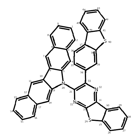 c1ccc2cc3c(cc2c1)c1cc2ccccc2cc1n3-c1nc2sc3ccccc3c2nc1-c1ccc2c(c1)sc1ccccc12